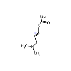 CN(C)C/C=C/SC(=O)C(C)(C)C